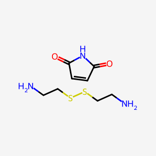 NCCSSCCN.O=C1C=CC(=O)N1